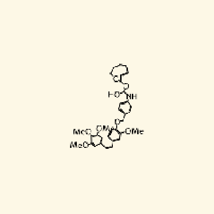 COc1cc(/C=C\c2cc(OC)c(OC)c(OC)c2)ccc1OCc1ccc(NC(O)OC2/C=C/CCCCC2)cc1